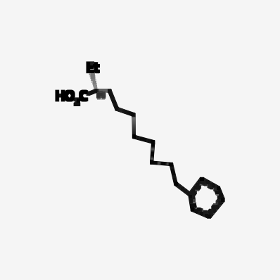 CC[C@H](CCCCCCCCc1ccccc1)C(=O)O